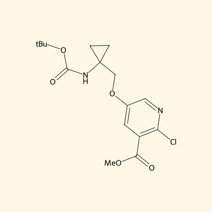 COC(=O)c1cc(OCC2(NC(=O)OC(C)(C)C)CC2)cnc1Cl